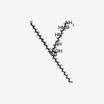 CCCCCCCCCCCCCCCCCCN(CCCCCCCCCCCCCCCCCC)N(CCCNCCCCNCCCNC(=O)CN)C(=O)O